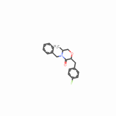 CC1COC(Cc2ccc(F)cc2)C(=O)N1Cc1ccccc1